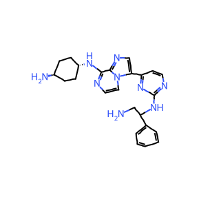 NCC(Nc1nccc(-c2cnc3c(N[C@H]4CC[C@H](N)CC4)nccn23)n1)c1ccccc1